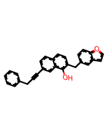 Oc1c(Cc2ccc3occc3c2)ccc2ccc(C#CCc3ccccc3)cc12